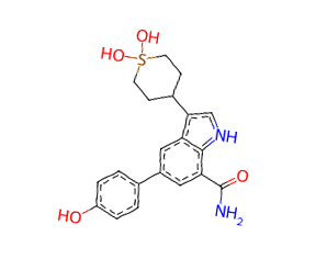 NC(=O)c1cc(-c2ccc(O)cc2)cc2c(C3CCS(O)(O)CC3)c[nH]c12